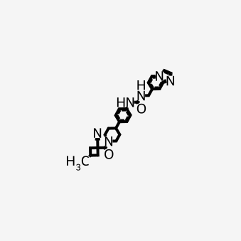 CC1CC(C#N)(C(=O)N2CCC(c3ccc(NC(=O)NCc4ccn5ccnc5c4)cc3)CC2)C1